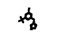 CC(C)(C)c1cc(F)cc(Cn2ccnc2)c1